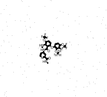 [2H]C([2H])([2H])Oc1c(Oc2ccc(OC(F)(F)F)c(NC)c2C(=O)Nc2ccnc(C(=O)NC)c2)ccc(OC(F)(F)F)c1F